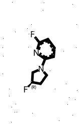 Fc1cccc(N2CC[C@@H](F)C2)n1